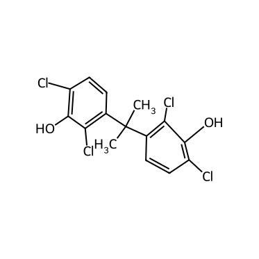 CC(C)(c1ccc(Cl)c(O)c1Cl)c1ccc(Cl)c(O)c1Cl